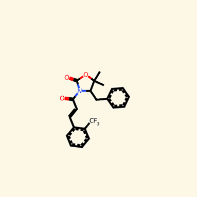 CC1(C)OC(=O)N(C(=O)C=Cc2ccccc2C(F)(F)F)C1Cc1ccccc1